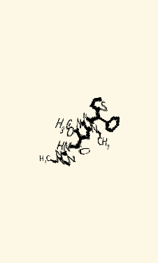 CCn1cnc(NC(=O)c2cc3c(nc2OC)nc(C(c2ccccc2)c2cccs2)n3CC)n1